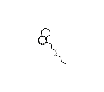 CCCNSCCc1cccc2c1CCCC2